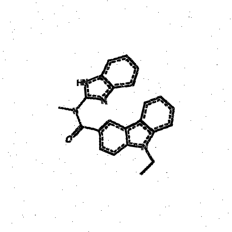 CCn1c2ccccc2c2cc(C(=O)N(C)c3nc4ccccc4[nH]3)ccc21